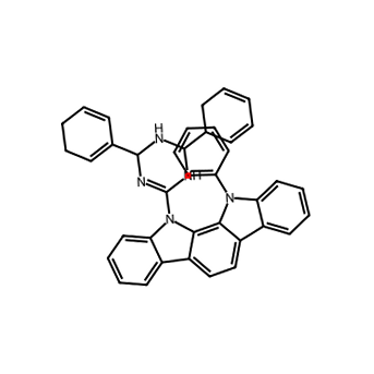 C1=CCC(C2NC(n3c4ccccc4c4ccc5c6ccccc6n(-c6ccccc6)c5c43)=NC(C3=CCCC=C3)N2)C=C1